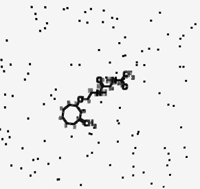 C=C1CCCCCC(OCCNC(=O)CNC(=O)C(F)(F)F)C1